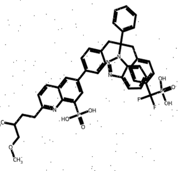 COCC(C)CCc1ccc2cc(-c3ccc(CC(Cc4ccc(C(F)(F)P(=O)(O)O)cc4)(c4ccccc4)n4nnc5ccccc54)cc3)cc(P(=O)(O)O)c2n1